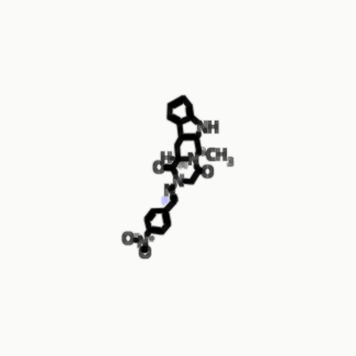 C[C@H]1c2[nH]c3ccccc3c2C[C@H]2C(=O)N(/N=C/c3ccc([N+](=O)[O-])cc3)CC(=O)N21